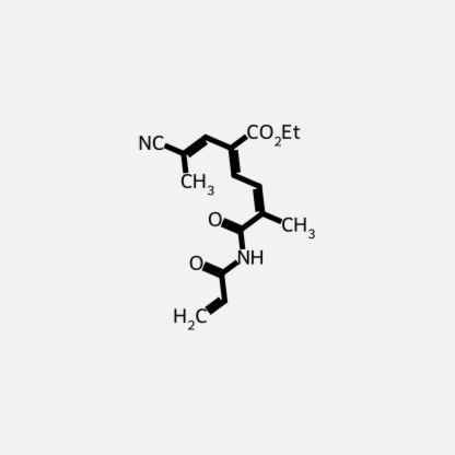 C=CC(=O)NC(=O)C(C)=CC=C(C=C(C)C#N)C(=O)OCC